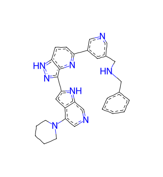 c1ccc(CNCc2cncc(-c3ccc4[nH]nc(-c5cc6c(N7CCCCC7)cncc6[nH]5)c4n3)c2)cc1